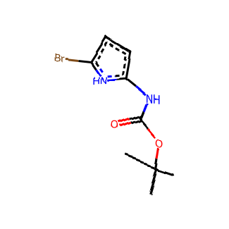 CC(C)(C)OC(=O)Nc1ccc(Br)[nH]1